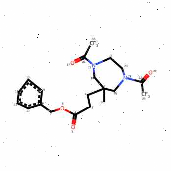 CC1(CCC(=O)OCc2ccccc2)CN(C(=O)C(F)(F)F)CCN(C(=O)C(F)(F)F)C1